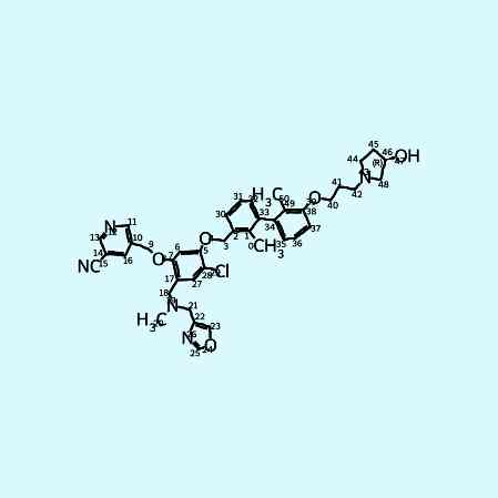 Cc1c(COc2cc(OCc3cncc(C#N)c3)c(CN(C)Cc3cocn3)cc2Cl)cccc1-c1cccc(OCCCN2CC[C@@H](O)C2)c1C